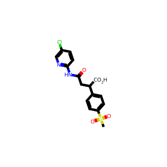 CS(=O)(=O)c1ccc(C(CC(=O)Nc2ccc(Cl)cn2)C(=O)O)cc1